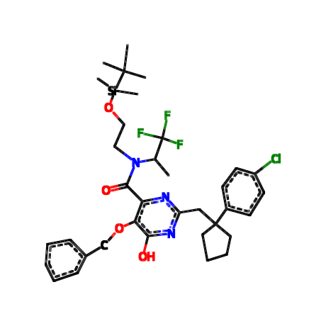 CC(N(CCO[Si](C)(C)C(C)(C)C)C(=O)c1nc(CC2(c3ccc(Cl)cc3)CCCC2)nc(O)c1OCc1ccccc1)C(F)(F)F